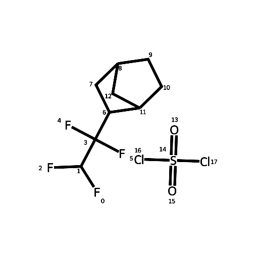 FC(F)C(F)(F)C1CC2CCC1C2.O=S(=O)(Cl)Cl